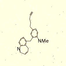 C#CCCCc1ccc(NC)c(Cc2cccc3c2CC=CC=N3)c1